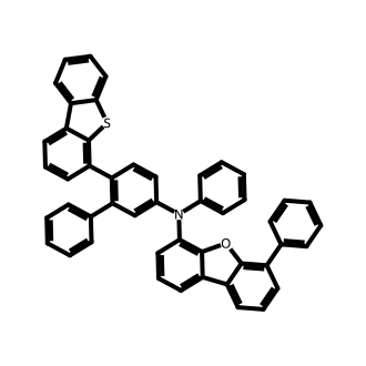 c1ccc(-c2cc(N(c3ccccc3)c3cccc4c3oc3c(-c5ccccc5)cccc34)ccc2-c2cccc3c2sc2ccccc23)cc1